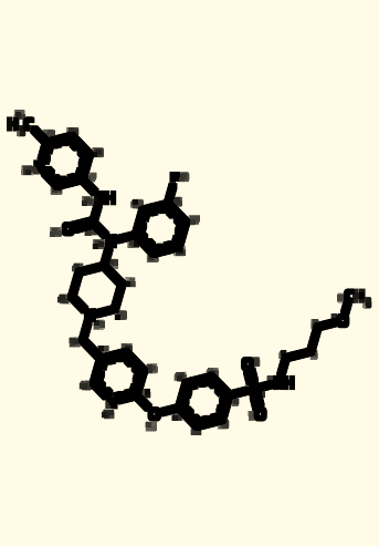 COCCCNS(=O)(=O)c1ccc(Oc2ccc(CN3CCC(N(C(=O)Nc4ccc(C)nc4)c4cccc(F)c4)CC3)cn2)cc1